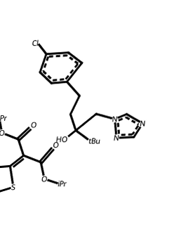 CC(C)(C)C(O)(CCc1ccc(Cl)cc1)Cn1cncn1.CC(C)OC(=O)C(C(=O)OC(C)C)=C1SCCS1